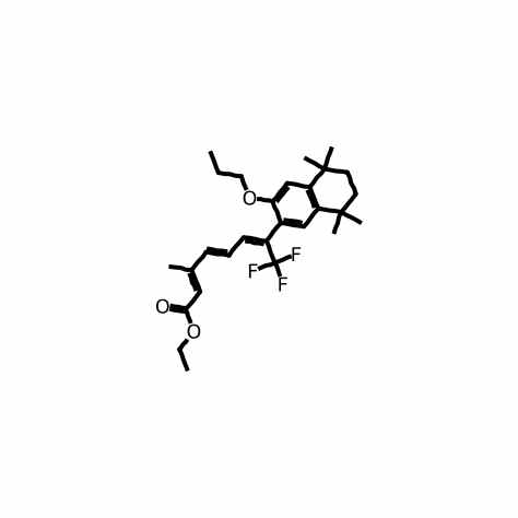 CCCOc1cc2c(cc1C(=CC=CC(C)=CC(=O)OCC)C(F)(F)F)C(C)(C)CCC2(C)C